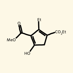 CCOC(=O)C1=C(CC)C(C(=O)OC)=C(O)C1